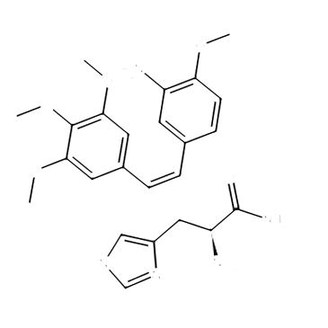 COc1ccc(/C=C\c2cc(OC)c(OC)c(OC)c2)cc1N.NC(=O)[C@@H](N)Cc1c[nH]cn1